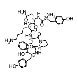 NCCCC[C@H](NC(=O)[C@H](CC(N)=O)NC(=O)[C@@H](N)Cc1ccc(O)cc1)C(=O)N[C@@H](Cc1ccccc1)C(=O)N1CCC[C@H]1C(=O)N[C@@H](Cc1ccc(O)cc1)C(=O)O